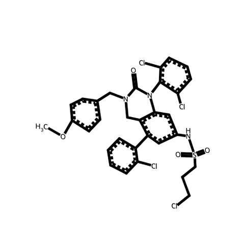 COc1ccc(CN2Cc3c(-c4ccccc4Cl)cc(NS(=O)(=O)CCCCl)cc3N(c3c(Cl)cccc3Cl)C2=O)cc1